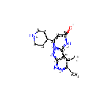 Cc1nnc2nn3c(C4CCNCC4)cc(=O)[nH]c3c2c1C